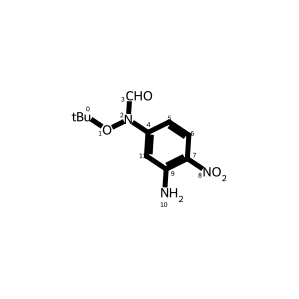 CC(C)(C)ON(C=O)c1ccc([N+](=O)[O-])c(N)c1